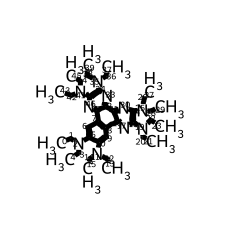 CCN(CC)c1cc2c(cc1N(CC)CC)c1nc(N(CC)CC)c(N(CC)CC)nc1c1nc(N(CC)CC)c(N(CC)CC)nc21